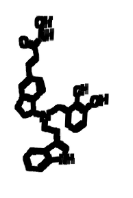 O=C(C=Cc1ccc2c(c1)CCC2N(CCc1c[nH]c2ccccc12)Cc1cccc(O)c1O)NO